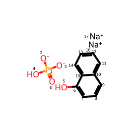 O=P([O-])([O-])O.Oc1cccc2ccccc12.[Na+].[Na+]